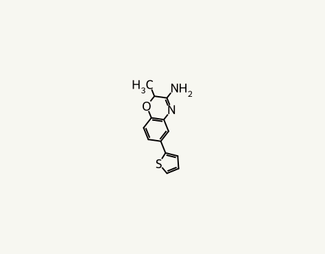 CC1Oc2ccc(-c3cccs3)cc2N=C1N